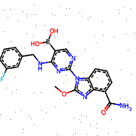 COc1nc2c(C(N)=O)cccc2n1-c1ncc(B(O)O)c(NCc2cccc(F)c2)n1